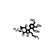 CCOC(=O)c1[nH]c(CCN)c(-c2ccc(CO)c(CO)c2CO)c1C(=O)C1CC1